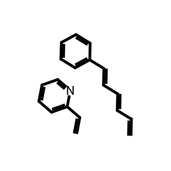 C=CC=CC=Cc1ccccc1.C=Cc1ccccn1